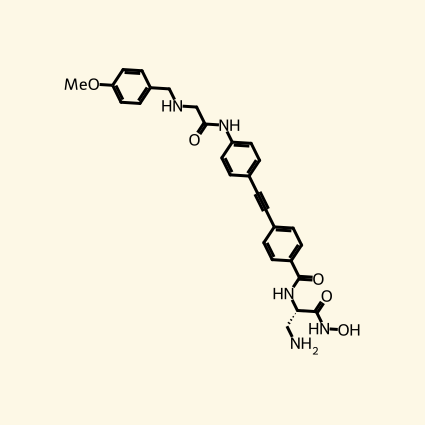 COc1ccc(CNCC(=O)Nc2ccc(C#Cc3ccc(C(=O)N[C@@H](CN)C(=O)NO)cc3)cc2)cc1